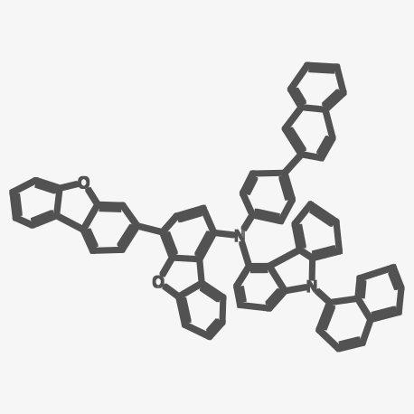 c1ccc2cc(-c3ccc(N(c4ccc(-c5ccc6c(c5)oc5ccccc56)c5oc6ccccc6c45)c4cccc5c4c4ccccc4n5-c4cccc5ccccc45)cc3)ccc2c1